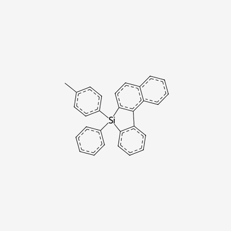 Cc1ccc([Si]2(c3ccccc3)c3ccccc3-c3c2ccc2ccccc32)cc1